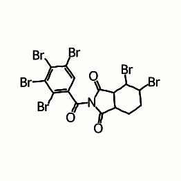 O=C(c1cc(Br)c(Br)c(Br)c1Br)N1C(=O)C2CCC(Br)C(Br)C2C1=O